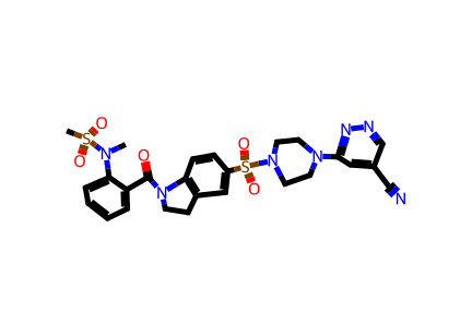 CN(c1ccccc1C(=O)N1CCc2cc(S(=O)(=O)N3CCN(c4cc(C#N)cnn4)CC3)ccc21)S(C)(=O)=O